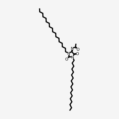 CCCCCCCCCCCCCCCCCCN1C(=O)C(=NC(C)=O)N(CCCCCCCCCCCCCCCCCC)C1=O